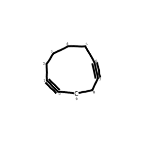 C1#CCCCCC#CCC1